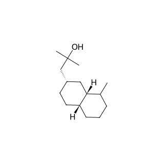 CC1CCC[C@@H]2CC[C@H](CC(C)(C)O)C[C@H]12